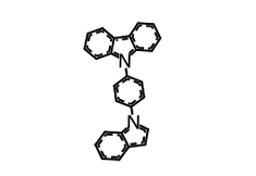 c1ccc2c(c1)ccn2-c1ccc(-n2c3ccccc3c3ccccc32)cc1